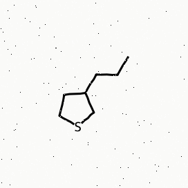 CCCC1CCSC1